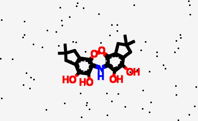 CC1(C)Cc2c(O)c(O)c3[nH]c4c(O)c(O)c5c(c4ooc3c2C1)CC(C)(C)C5